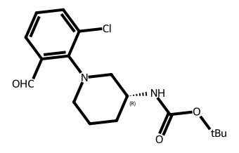 CC(C)(C)OC(=O)N[C@@H]1CCCN(c2c(Cl)cccc2C=O)C1